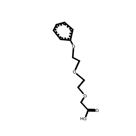 O=C(O)COCCOCCOc1cc[c]cc1